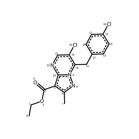 CCOC(=O)c1c(C)nn2c(Cc3ccc(Cl)cc3)c(Cl)cnc12